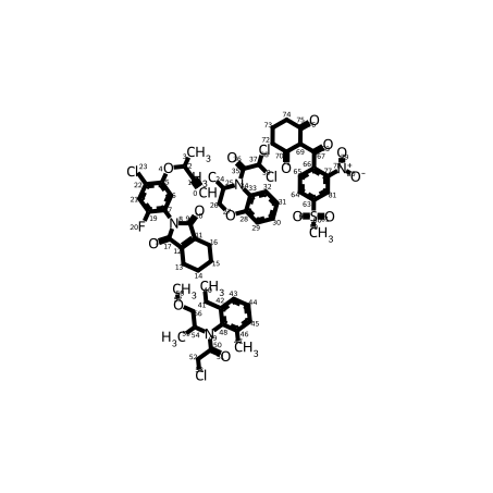 C#CC(C)Oc1cc(N2C(=O)C3=C(CCCC3)C2=O)c(F)cc1Cl.CC1COc2ccccc2N1C(=O)C(Cl)Cl.CCc1cccc(C)c1N(C(=O)CCl)C(C)COC.CS(=O)(=O)c1ccc(C(=O)C2C(=O)CCCC2=O)c([N+](=O)[O-])c1